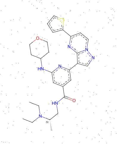 CCN(CC)[C@@H](C)CNC(=O)c1cc(NC2CCOCC2)nc(-c2cnn3ccc(-c4cccs4)nc23)c1